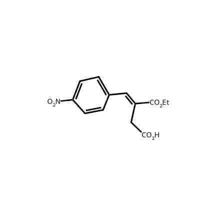 CCOC(=O)/C(=C/c1ccc([N+](=O)[O-])cc1)CC(=O)O